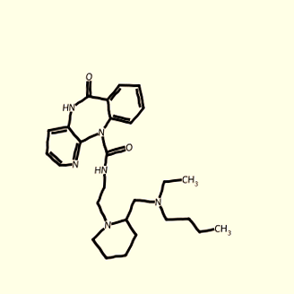 CCCCN(CC)CC1CCCCN1CCNC(=O)N1c2ccccc2C(=O)Nc2cccnc21